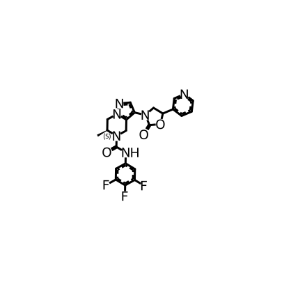 C[C@H]1Cn2ncc(N3CC(c4cccnc4)OC3=O)c2CN1C(=O)Nc1cc(F)c(F)c(F)c1